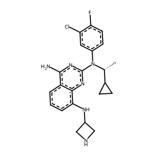 C[C@H](C1CC1)N(c1ccc(F)c(Cl)c1)c1nc(N)c2cccc(NC3CNC3)c2n1